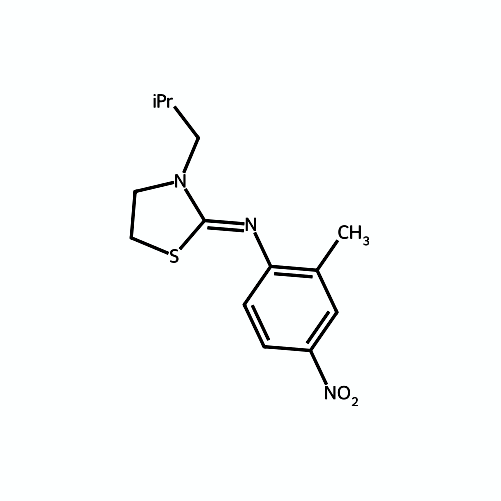 Cc1cc([N+](=O)[O-])ccc1N=C1SCCN1CC(C)C